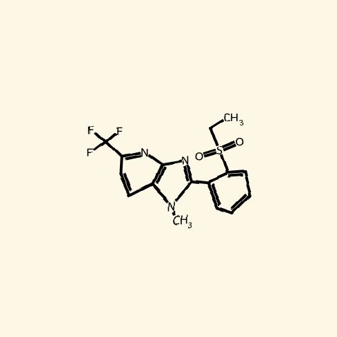 CCS(=O)(=O)c1ccccc1-c1nc2nc(C(F)(F)F)ccc2n1C